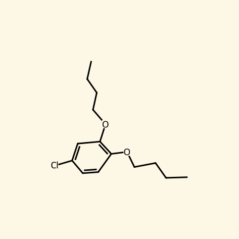 CCCCOc1ccc(Cl)cc1OCCCC